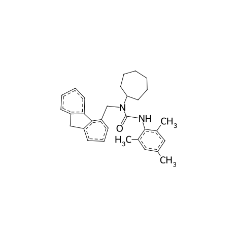 Cc1cc(C)c(NC(=O)N(Cc2cccc3c2-c2ccccc2C3)C2CCCCCC2)c(C)c1